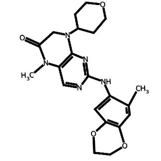 Cc1cc2c(cc1Nc1ncc3c(n1)N(C1CCOCC1)CC(=O)N3C)OCCO2